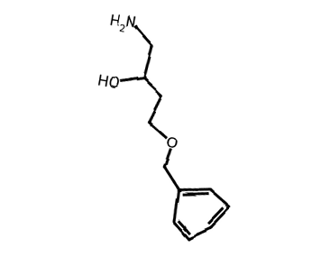 NCC(O)CCOCc1ccccc1